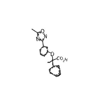 Cc1nc(-c2cccc(OC(C)(C(=O)O)c3ccccc3)c2)no1